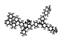 FC(F)(F)c1ccc(-c2ccc3c(c2)c2cc(-c4ccc(C(F)(F)F)cc4)ccc2n3-c2ccc(-c3ccc(N(c4ccccc4)c4ccc(-c5cccc(C6(c7ccccc7)c7ccccc7-c7ccccc76)c5)cc4)c4nsnc34)cc2)cc1